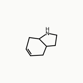 C1=CCC2NCCC2C1